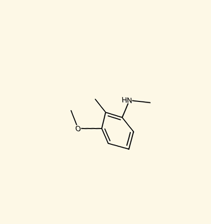 CNc1cccc(OC)c1C